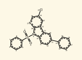 O=S(=O)(c1ccccc1)n1c2ccc(-c3ccccc3)cc2c2cc(Cl)cnc21